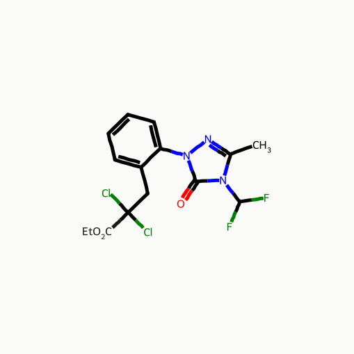 CCOC(=O)C(Cl)(Cl)Cc1ccccc1-n1nc(C)n(C(F)F)c1=O